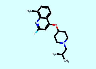 Cc1cccc2c(OC3CCN(CC(C)C)CC3)cc(F)nc12